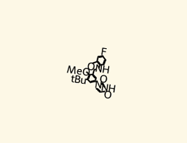 COc1c(C(=O)Nc2ccc(F)cc2C)cc(-n2ccc(=O)[nH]c2=O)cc1C(C)(C)C